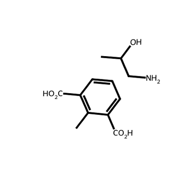 CC(O)CN.Cc1c(C(=O)O)cccc1C(=O)O